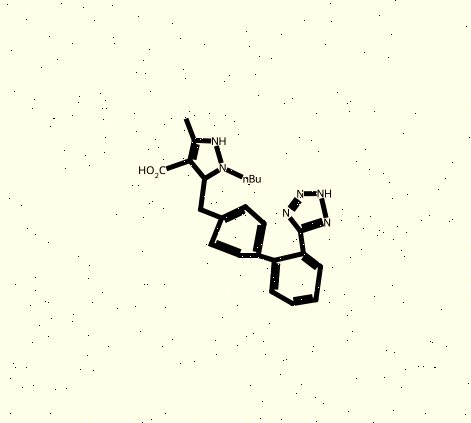 CCCCN1NC(C)=C(C(=O)O)C1Cc1ccc(-c2ccccc2-c2nn[nH]n2)cc1